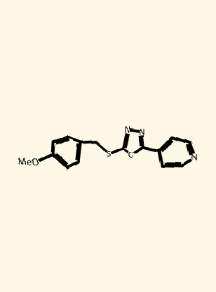 COc1ccc(CSc2nnc(-c3ccncc3)o2)cc1